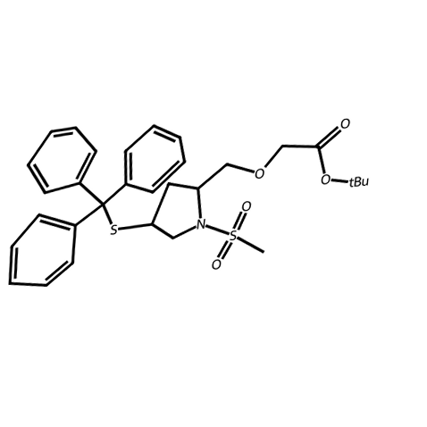 CC(C)(C)OC(=O)COCC1CC(SC(c2ccccc2)(c2ccccc2)c2ccccc2)CN1S(C)(=O)=O